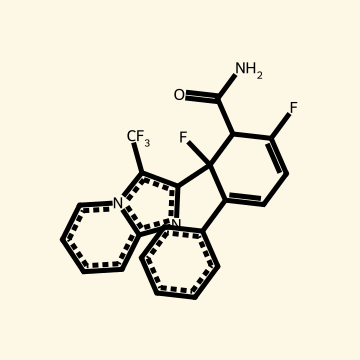 NC(=O)C1C(F)=CC=C(c2ccccc2)C1(F)c1nc2ccccn2c1C(F)(F)F